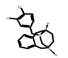 Clc1ccc(CN2C[C@@H]3CC[C@H]2Cc2ccccc2C3)cc1Cl